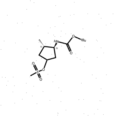 C[C@H]1CC(OS(C)(=O)=O)C[C@@H]1NC(=O)OC(C)(C)C